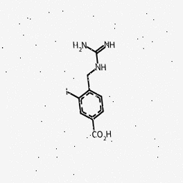 N=C(N)NCc1ccc(C(=O)O)cc1I